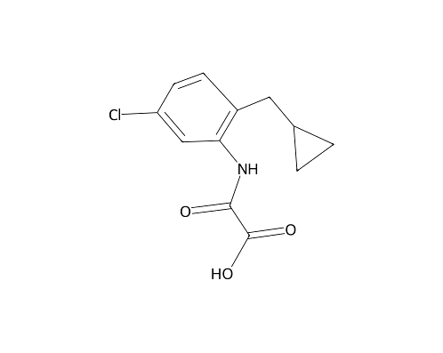 O=C(O)C(=O)Nc1cc(Cl)ccc1CC1CC1